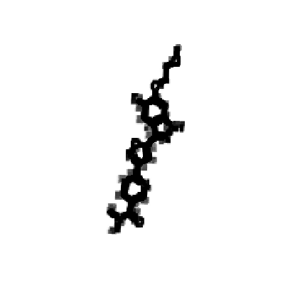 COCCOc1cc2[nH]nc(-c3cc(-c4ccc(C(=O)N(C)C)cn4)no3)c2cc1F